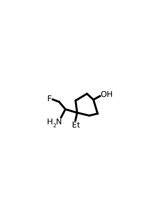 CCC1(C(N)CF)CCC(O)CC1